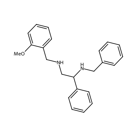 COc1ccccc1CNCC(NCc1ccccc1)c1ccccc1